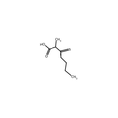 CCCCC(=S)C(C)C(=O)O